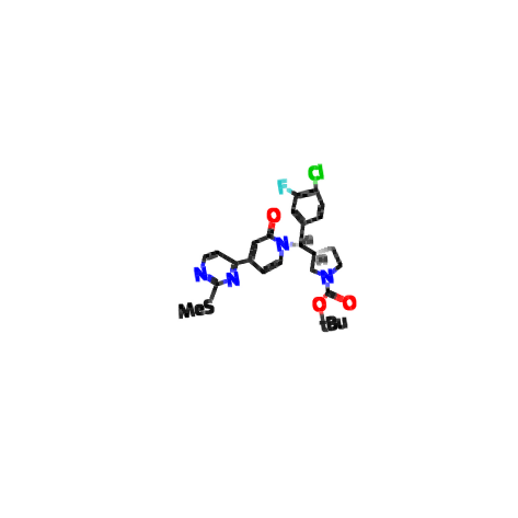 CSc1nccc(-c2ccn([C@H](c3ccc(Cl)c(F)c3)[C@@H]3CCN(C(=O)OC(C)(C)C)C3)c(=O)c2)n1